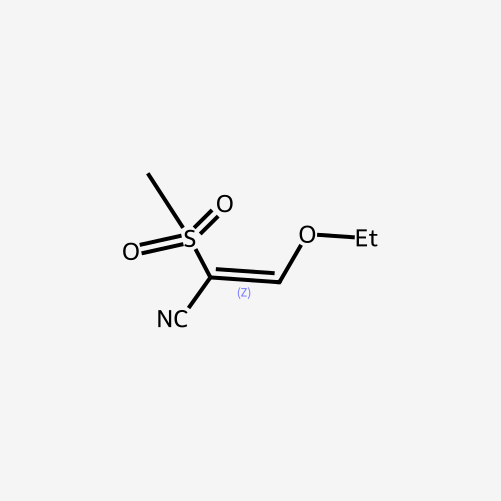 CCO/C=C(/C#N)S(C)(=O)=O